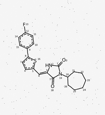 O=C1N/C(=C\c2ccc(-c3ccc(F)cc3)s2)C(=O)N1C1CCCCCC1